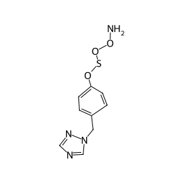 NOOSOc1ccc(Cn2cncn2)cc1